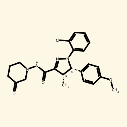 COc1ccc([C@@H]2[C@H](C)C(C(=O)NN3CCCC(=O)C3)=NN2c2ccccc2Cl)cc1